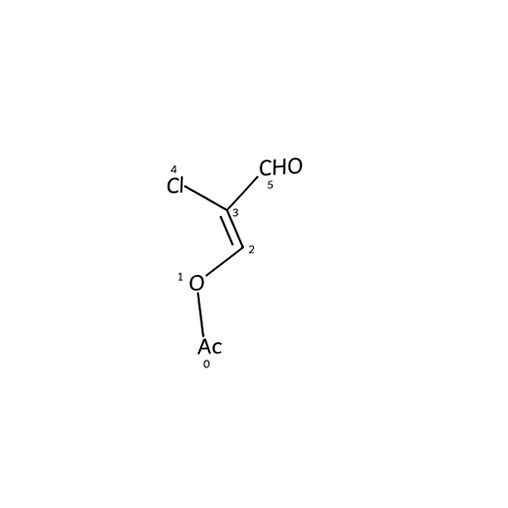 CC(=O)OC=C(Cl)C=O